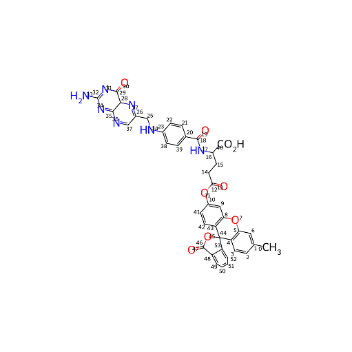 Cc1ccc2c(c1)Oc1cc(OC(=O)CCC(NC(=O)c3ccc(NCC4=NC5C(=O)N=C(N)N=C5N=C4)cc3)C(=O)O)ccc1C21OC(=O)c2ccccc21